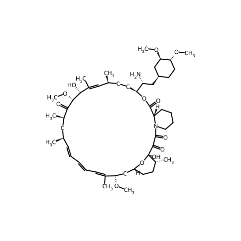 CO[C@H]1C[C@@H]2CC[C@@H](C)[C@@](O)(O2)C(=O)C(=O)N2CCCC[C@H]2C(=O)O[C@H]([C@H](N)C[C@@H]2CC[C@@H](OC)[C@H](OC)C2)CC[C@H](C)/C=C(\C)[C@@H](O)[C@@H](OC)C(=O)[C@H](C)C[C@H](C)/C=C/C=C/C=C/1C